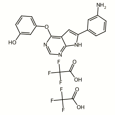 Nc1cccc(-c2cc3c(Oc4cccc(O)c4)ncnc3[nH]2)c1.O=C(O)C(F)(F)F.O=C(O)C(F)(F)F